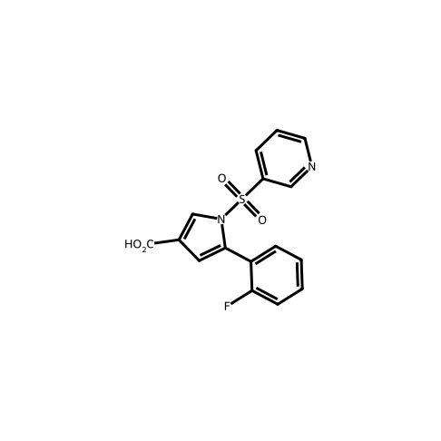 O=C(O)c1cc(-c2ccccc2F)n(S(=O)(=O)c2cccnc2)c1